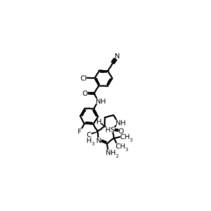 CC1(C)C(N)=N[C@](C)(c2cc(NC(=O)c3ccc(C#N)cc3Cl)ccc2F)[C@@H]2CCN[SH]21=O